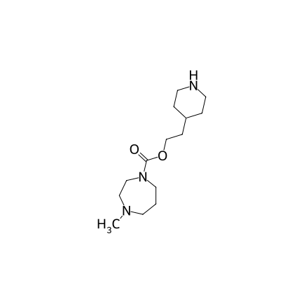 CN1CCCN(C(=O)OCCC2CCNCC2)CC1